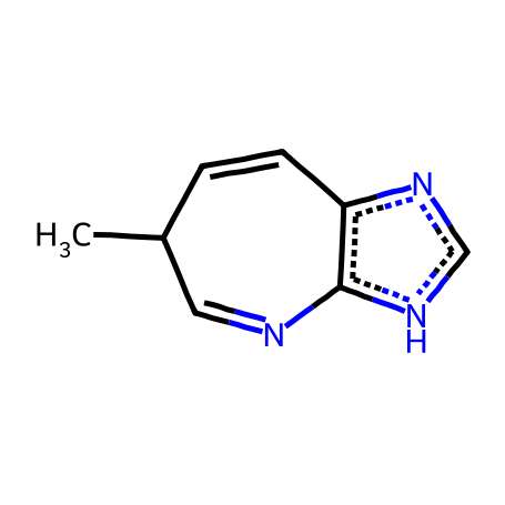 CC1C=Cc2nc[nH]c2N=C1